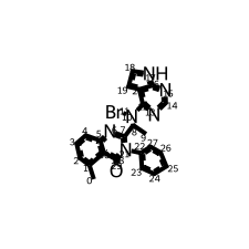 Cc1cccc2nc(C(C)N(Br)c3ncnc4[nH]ccc34)n(-c3ccccc3)c(=O)c12